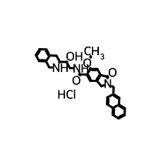 CCOc1cc2c(cc1C(=O)NCC(O)C1Cc3ccccc3CN1)CN(Cc1ccc3ccccc3c1)C2=O.Cl